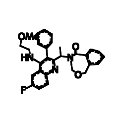 COCCNc1c(-c2ccccc2)c(C(C)N2COCc3ccccc3C2=O)nc2ccc(F)cc12